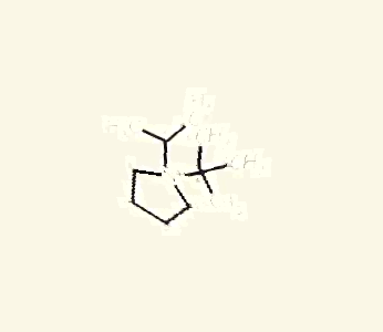 CC(C)[N+]1(C(C)(C)C)CCCC1